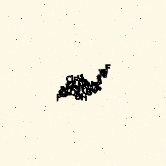 Cc1cc(=O)n(C(CC(C)C)C(=O)N[C@@H](CC(=O)O)c2cc(-c3c(C)cc(F)cc3C)cc(Cl)c2F)cc1CCN1CC(F)C1